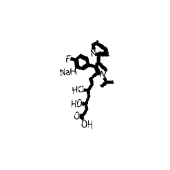 CC(C)n1cc(-c2ccccn2)c(-c2ccc(F)cc2)c1CCC(O)CC(O)CC(=O)O.[NaH]